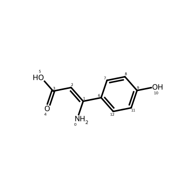 NC(=CC(=O)O)c1ccc(O)cc1